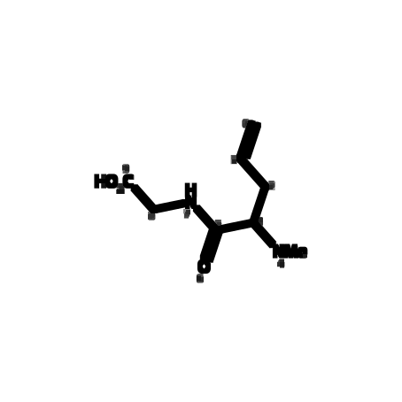 C=CCC(NC)C(=O)NCC(=O)O